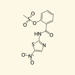 CS(=O)(=O)Oc1ccccc1C(=O)Nc1ncc([N+](=O)[O-])s1